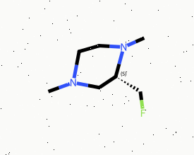 CN1CCN(C)[C@H](CF)C1